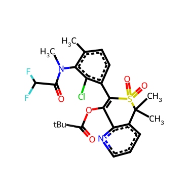 Cc1ccc(C2=C(OC(=O)C(C)(C)C)c3ncccc3C(C)(C)S2(=O)=O)c(Cl)c1N(C)C(=O)C(F)F